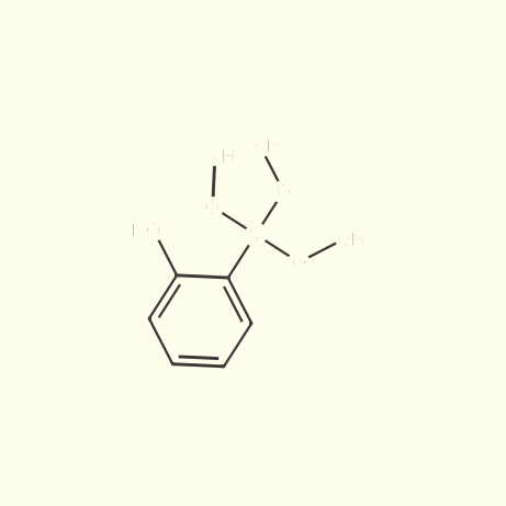 CO[Si](OC)(OC)c1ccccc1O